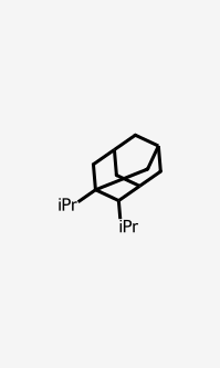 CC(C)C1C2CC3CC(C2)CC1(C(C)C)C3